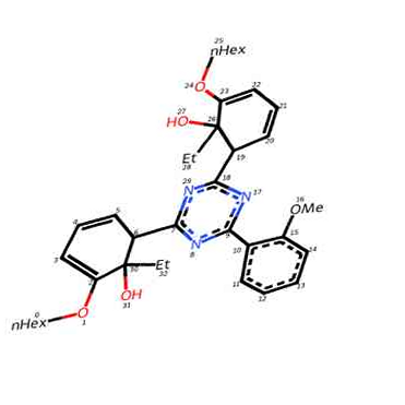 CCCCCCOC1=CC=CC(c2nc(-c3ccccc3OC)nc(C3C=CC=C(OCCCCCC)C3(O)CC)n2)C1(O)CC